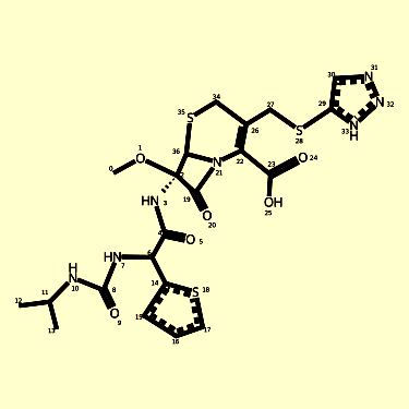 CO[C@]1(NC(=O)C(NC(=O)NC(C)C)c2cccs2)C(=O)N2C(C(=O)O)=C(CSc3cnn[nH]3)CSC21